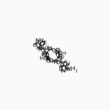 C[C@@H]1[C@@H]2OP(=O)(O)OC[C@H]3O[C@@H](n4nnc5c(C(N)=O)cccc54)[C@H](F)[C@@H]3OP(=O)(O)OC[C@H]2O[C@H]1n1cnc2c(N)ncnc21